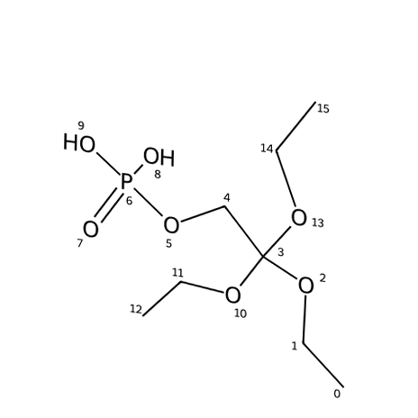 CCOC(COP(=O)(O)O)(OCC)OCC